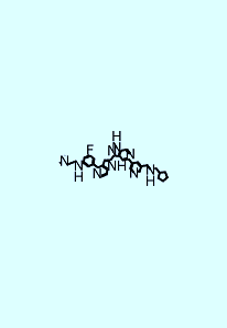 CN(C)CCNc1cc(F)cc(-c2nccc3[nH]c(-c4n[nH]c5cnc(-c6cncc(CNCC7CCCC7)c6)cc45)cc23)c1